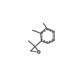 Cc1cccc(C2(C)CO2)c1C